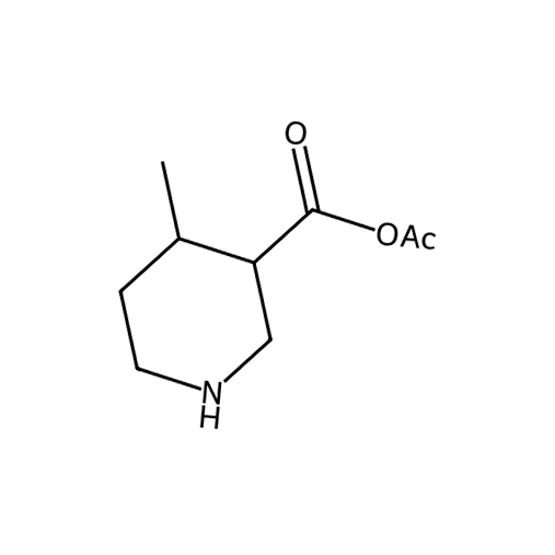 CC(=O)OC(=O)C1CNCCC1C